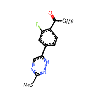 COC(=O)c1ccc(-c2cnc(SC)nn2)cc1F